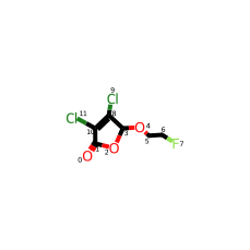 O=C1OC(OCCF)C(Cl)=C1Cl